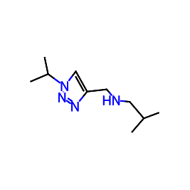 CC(C)CNCc1cn(C(C)C)nn1